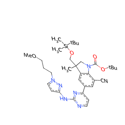 COCCCn1ccc(Nc2nccc(-c3cc(C#N)c4c(c3)C(C)(CO[Si](C)(C)C(C)(C)C)CN4C(=O)OC(C)(C)C)n2)n1